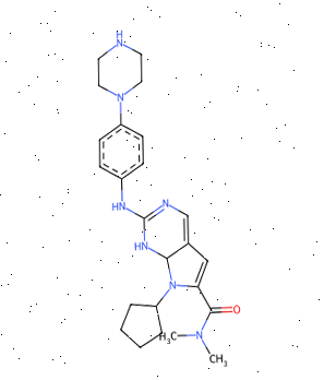 CN(C)C(=O)C1=CC2=CN=C(Nc3ccc(N4CCNCC4)cc3)NC2N1C1CCCC1